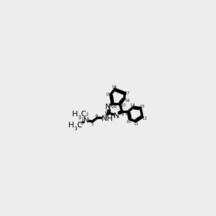 CN(C)CCNc1nc(-c2ccccc2)c2ccccc2n1